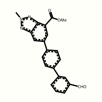 COC(=O)c1cc(-c2ccc(-c3cccc(C=O)c3)cc2)cc2nn(C)nc12